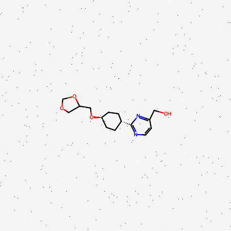 OCc1ccnc([C@H]2CC[C@H](OCC3COCO3)CC2)n1